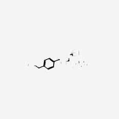 CCOC(OC)OCc1ccc(CCl)cc1